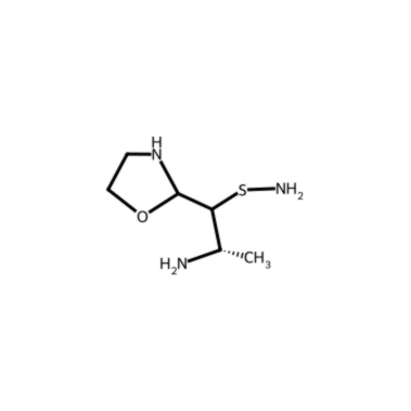 C[C@H](N)C(SN)C1NCCO1